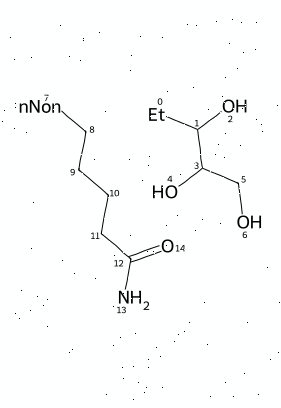 CCC(O)C(O)CO.CCCCCCCCCCCCCC(N)=O